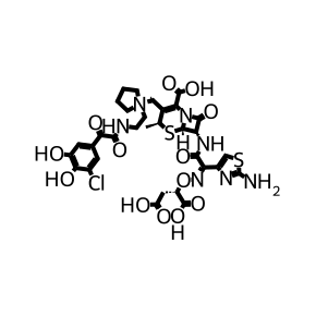 C[C@@H]1S[C@@H]2[C@H](NC(=O)/C(=N\O[C@@H](CC(=O)O)C(=O)O)c3csc(N)n3)C(=O)N2C(C(=O)O)=C1C[N+]1(CCNC(=O)C(=O)c2cc(O)c(O)c(Cl)c2)CCCC1